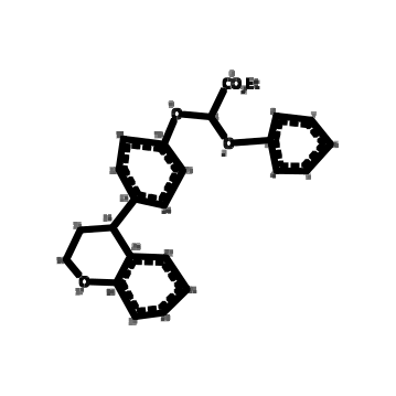 CCOC(=O)C(Oc1ccccc1)Oc1ccc(C2CCOc3ccccc32)cc1